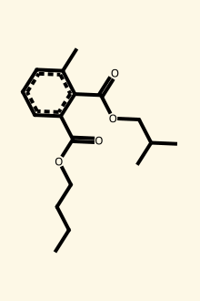 CCCCOC(=O)c1cccc(C)c1C(=O)OCC(C)C